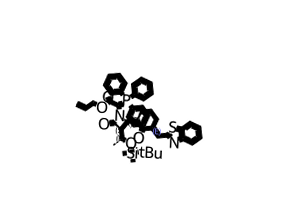 C=CCOC(=O)C(N1C(=O)[C@H]([C@@H](C)O[Si](C)(C)C(C)(C)C)[C@H]1[C@H]1CCC/C(=C\c2nc3ccccc3s2)C1=O)=P(c1ccccc1)(c1ccccc1)c1ccccc1